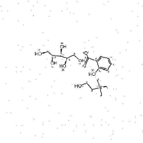 C[N+](C)(C)CCO.O=C([O-])c1ccccc1O.OC[C@@H](O)[C@H](O)[C@@H](O)CO